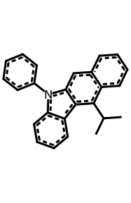 CC(C)c1c2ccccc2cc2c1c1ccccc1n2-c1ccccc1